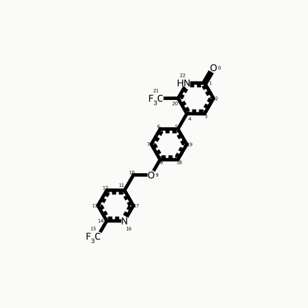 O=c1ccc(-c2ccc(OCc3ccc(C(F)(F)F)nc3)cc2)c(C(F)(F)F)[nH]1